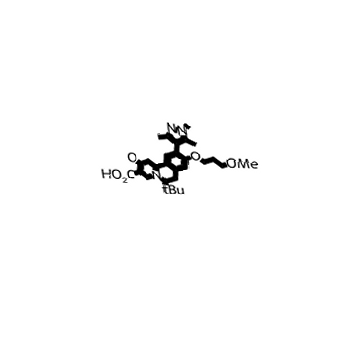 COCCCOc1cc2c(cc1-c1c(C)nn(C)c1C)-c1cc(=O)c(C(=O)O)cn1C(C(C)(C)C)C2